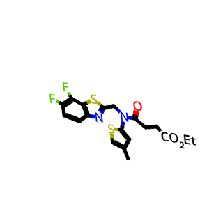 CCOC(=O)CCC(=O)N(Cc1nc2ccc(F)c(F)c2s1)c1cc(C)cs1